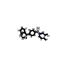 C=C/C=C\C(Bc1ccc(-c2ncnn3cccc23)cc1)=C/C=C